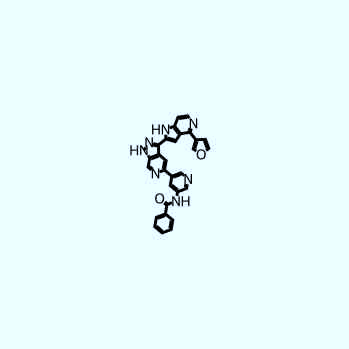 O=C(Nc1cncc(-c2cc3c(-c4cc5c(-c6ccoc6)nccc5[nH]4)n[nH]c3cn2)c1)c1ccccc1